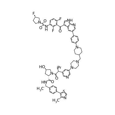 Cc1ncsc1-c1ccc([C@H](C)NC(=O)[C@@H]2C[C@@H](O)CN2C(=O)C(c2cncc(N3CCN(CC4CCN(c5ccc(-c6cnc7[nH]cc(C(=O)c8c(F)ccc(NS(=O)(=O)N9CC[C@@H](F)C9)c8F)c7c6)cc5)CC4)CC3)c2)C(C)C)cc1